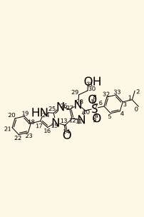 CC(C)c1ccc(S(=O)(=O)c2nc3c(=O)n4cc(-c5ccccc5)[nH]c4nc3n2CCO)cc1